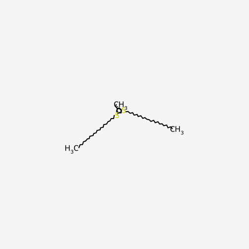 CCCCCCCCCCCCCCCCCCCCCCCSc1cc(CC)cc(SCCCCCCCCCCCCCCCCCCCCCCC)c1